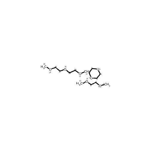 C1COCCO1.COCCOC.COCCOCCOC